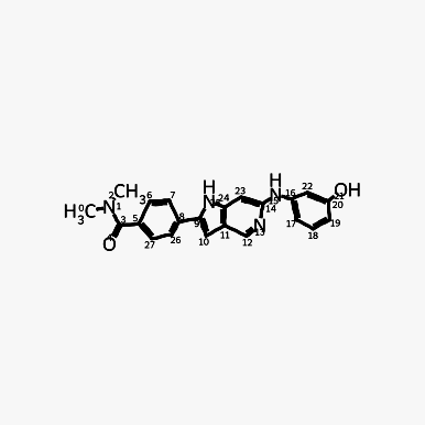 CN(C)C(=O)c1ccc(-c2cc3cnc(Nc4cccc(O)c4)cc3[nH]2)cc1